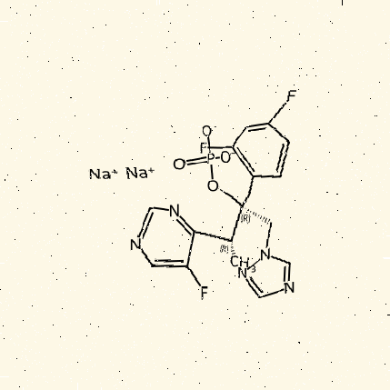 C[C@H](c1ncncc1F)[C@@](Cn1cncn1)(OP(=O)([O-])[O-])c1ccc(F)cc1F.[Na+].[Na+]